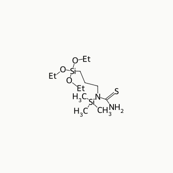 CCO[Si](CCCN(C(N)=S)[Si](C)(C)C)(OCC)OCC